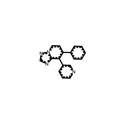 [c]1nc2c(-c3cccnc3)c(-c3ccccc3)ccn2n1